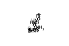 Cn1nc(N)c2c(-c3ccc(NC(=O)Nc4cccc(C(F)(F)F)c4)cc3)cc(C3(NS(C)(=O)=O)CC3)nc21